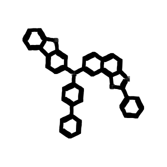 c1ccc(-c2ccc(N(c3ccc4c(c3)oc3ccccc34)c3ccc4ccc5nc(-c6ccccc6)oc5c4c3)cc2)cc1